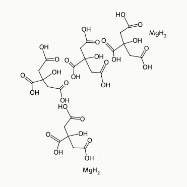 O=C(O)CC(O)(CC(=O)O)C(=O)O.O=C(O)CC(O)(CC(=O)O)C(=O)O.O=C(O)CC(O)(CC(=O)O)C(=O)O.O=C(O)CC(O)(CC(=O)O)C(=O)O.[MgH2].[MgH2]